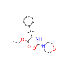 CCOC(=O)[C@@H](NC(=O)N1CCOCC1)C(C)(C)c1ccccc1